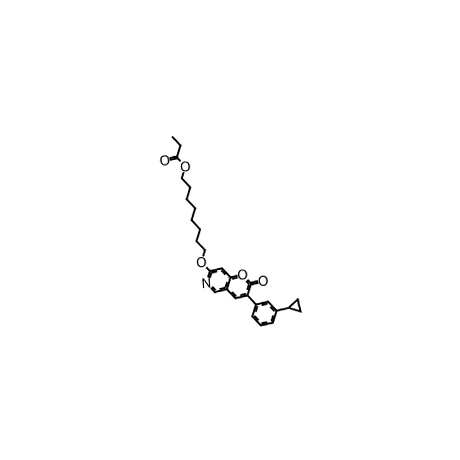 CCC(=O)OCCCCCCCCOc1cc2oc(=O)c(-c3cccc(C4CC4)c3)cc2cn1